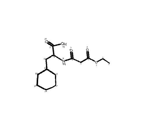 CCOC(=O)CC(=O)NC(CC1CCCCC1)C(=O)O